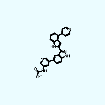 CCCC(=O)Nc1cncc(-c2ccc3[nH]nc(-c4cc5c(-c6ccncc6)cccc5[nH]4)c3c2)c1